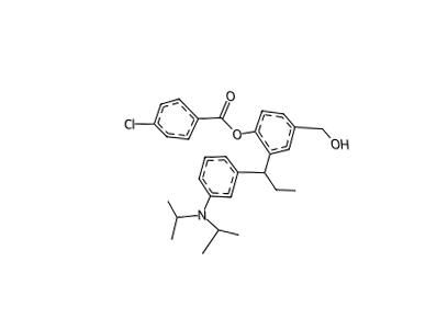 CCC(c1cccc(N(C(C)C)C(C)C)c1)c1cc(CO)ccc1OC(=O)c1ccc(Cl)cc1